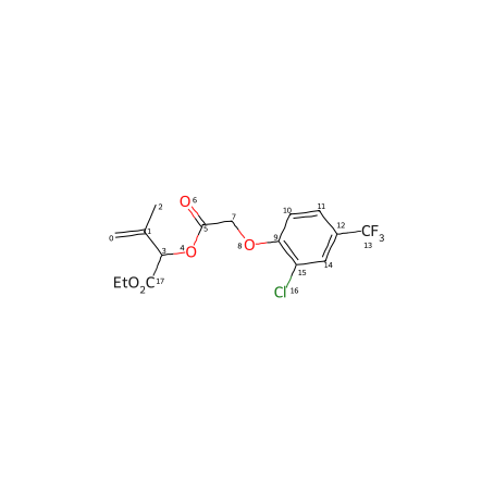 C=C(C)C(OC(=O)COc1ccc(C(F)(F)F)cc1Cl)C(=O)OCC